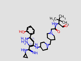 CC(C)(C)C(C=O)NC(=O)CN1CCC(CN2CCC(NC(/C=C(\N)c3ccccc3O)=C(/N)C(=N)NC3CC3)CC2)CC1